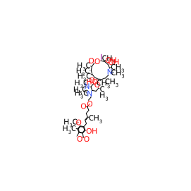 COc1c(C)c2c(c(O)c1C/C=C(\C)CCC(=O)OCCN(C)[C@@H]1C[C@@H](C)O[C@@H](O[C@@H]3[C@@H](C)[C@H](C)[C@@H](C)C(=O)O[C@H](I)[C@@](C)(O)[C@H](O)[C@@H](C)N(C)C[C@H](C)C[C@@]3(C)O)[C@H]1N(C)C)C(=O)OC2